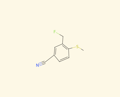 CSc1ccc(C#N)cc1CF